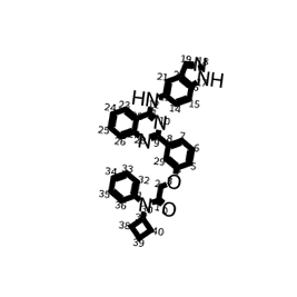 O=C(COc1cccc(-c2nc(Nc3ccc4[nH]ncc4c3)c3ccccc3n2)c1)N(c1ccccc1)C1CCC1